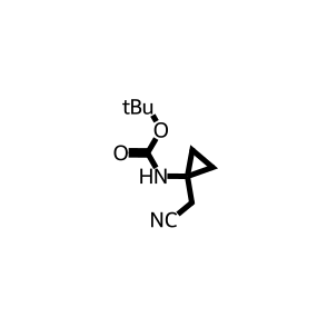 CC(C)(C)OC(=O)NC1(CC#N)CC1